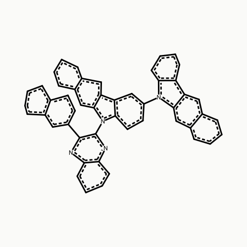 c1ccc2cc(-c3nc4ccccc4nc3-n3c4ccc(-n5c6ccccc6c6cc7ccccc7cc65)cc4c4cc5ccccc5cc43)ccc2c1